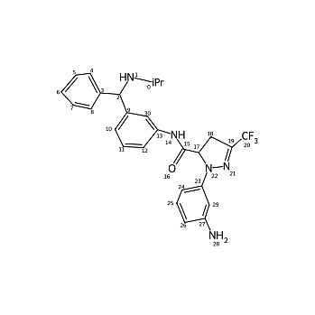 CC(C)NC(c1ccccc1)c1cccc(NC(=O)C2CC(C(F)(F)F)=NN2c2cccc(N)c2)c1